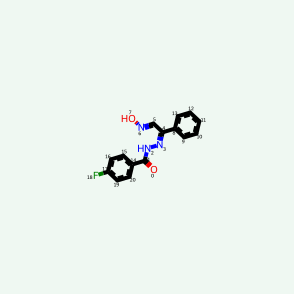 O=C(NN=C(C=NO)c1ccccc1)c1ccc(F)cc1